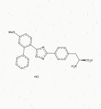 COc1ccc(-c2nc(-c3ccc(C[C@H](N)C(=O)O)cc3)no2)c(-c2ccccc2)c1.Cl